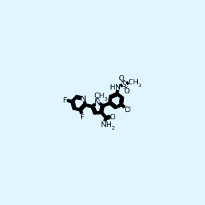 Cn1c(-c2ncc(F)cc2F)cc(C(N)=O)c1-c1cc(Cl)cc(NS(C)(=O)=O)c1